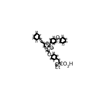 CCOC(Cc1ccc(OCCN(CCCSc2ccccc2)C(=O)Nc2ccc(Oc3ccccc3)cc2)cc1)C(=O)O